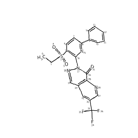 CCS(=O)(=O)c1ccc(-c2ccccc2)nc1-n1ncc2cc(C(F)(F)F)cnc2c1=O